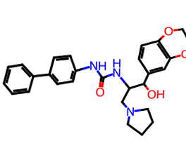 O=C(Nc1ccc(-c2ccccc2)cc1)NC(CN1CCCC1)C(O)c1ccc2c(c1)OCCO2